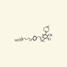 CCc1c(C#N)c(SCc2ccc(OCCCC(C)(C)[Si](C)(C)O)cc2)nc(N2CCCN(C)CC2)c1C#N